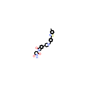 Cc1ccc2sc(-c3ccc(CN4CCC(c5ccc6c(c5)CN(C5CCC(=O)NC5=O)C6=O)CC4)cc3)nc2c1